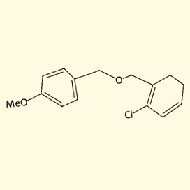 COc1ccc(COCC2=C(Cl)C=CC[CH]2)cc1